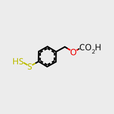 O=C(O)OCc1ccc(SS)cc1